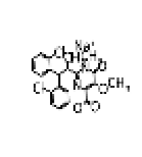 COc1c(C(=O)[O-])nc(C(C)C(c2ccccc2Cl)c2ccccc2Cl)n(C)c1=O.[Na+]